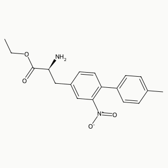 CCOC(=O)[C@@H](N)Cc1ccc(-c2ccc(C)cc2)c([N+](=O)[O-])c1